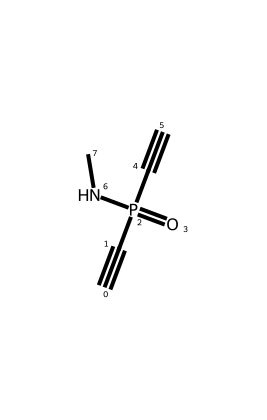 C#CP(=O)(C#C)NC